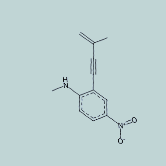 C=C(C)C#Cc1cc([N+](=O)[O-])ccc1NC